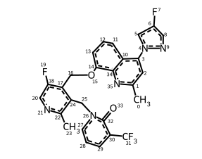 Cc1cc(-n2cc(F)cn2)c2cccc(OCc3c(F)cnc(C)c3Cn3cccc(C(F)(F)F)c3=O)c2n1